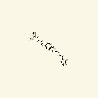 CCN(CC)CCCOc1ccc(CNCCCn2ccnc2)cc1